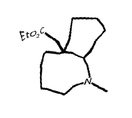 CCOC(=O)C12CCCC1N(C)CCC2